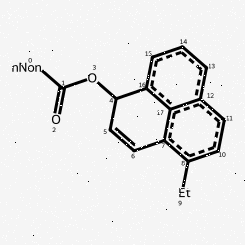 CCCCCCCCCC(=O)OC1C=Cc2c(CC)ccc3cccc1c23